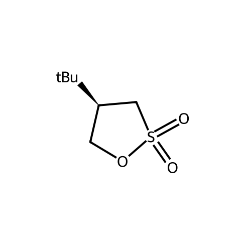 CC(C)(C)[C@@H]1COS(=O)(=O)C1